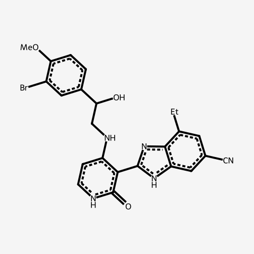 CCc1cc(C#N)cc2[nH]c(-c3c(NCC(O)c4ccc(OC)c(Br)c4)cc[nH]c3=O)nc12